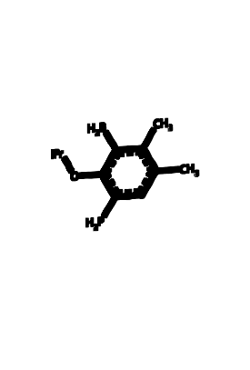 Bc1c(C)c(C)cc(P)c1OC(C)C